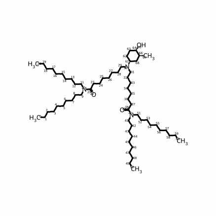 CCCCCCCCCCN(CCCCCCCCCC)C(=O)CCCCCCCN(CCCCCCCC(=O)N(CCCCCCCCCC)CCCCCCCCCC)[C@H]1CC[C@@H](O)[C@@H](C)C1